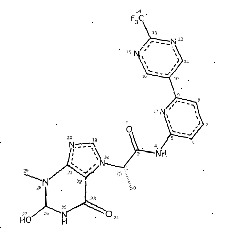 C[C@@H](C(=O)Nc1cccc(-c2cnc(C(F)(F)F)nc2)n1)n1cnc2c1C(=O)NC(O)N2C